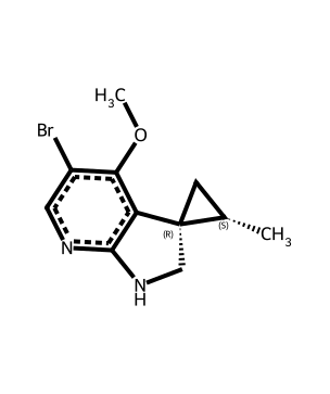 COc1c(Br)cnc2c1[C@@]1(CN2)C[C@@H]1C